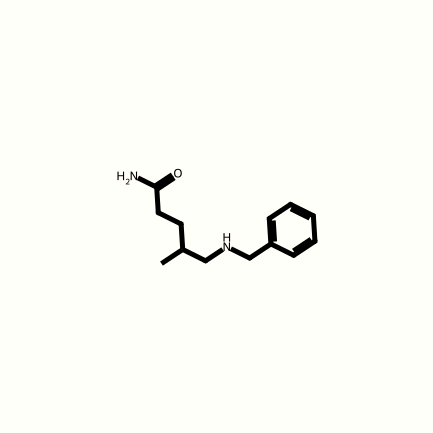 CC(CCC(N)=O)CNCc1ccccc1